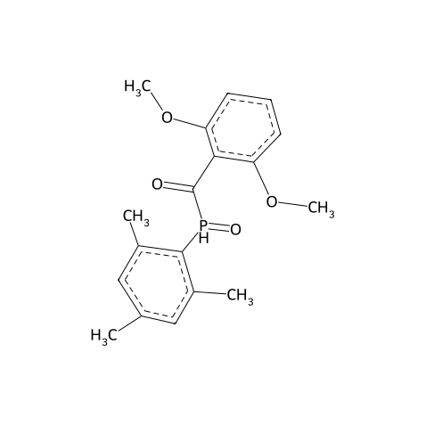 COc1cccc(OC)c1C(=O)[PH](=O)c1c(C)cc(C)cc1C